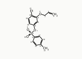 C=CCOc1cc(OS(=O)(=O)c2ccc(C)cc2)ccc1CC